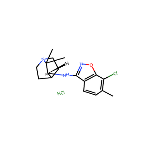 Cc1ccc2c(N[C@@H]3C4CCN(CC4)C3(C)C)noc2c1Cl.Cl